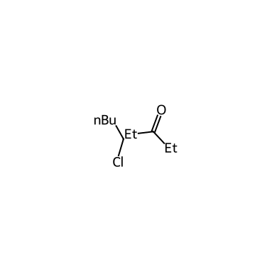 CCC(=O)CC.CCCCCCl